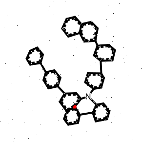 c1ccc(-c2ccc(-c3cccc(N(c4ccc(-c5cccc(-c6ccc7ccccc7c6)c5)cc4)c4ccccc4-c4ccccc4)c3)cc2)cc1